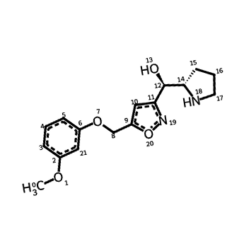 COc1cccc(OCc2cc([C@@H](O)[C@@H]3CCCN3)no2)c1